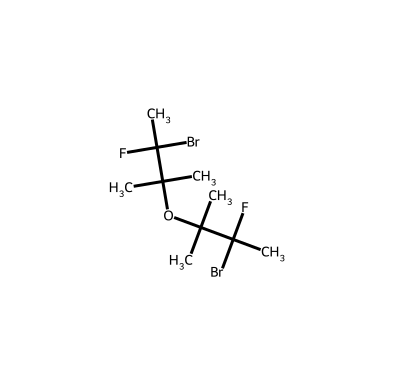 CC(F)(Br)C(C)(C)OC(C)(C)C(C)(F)Br